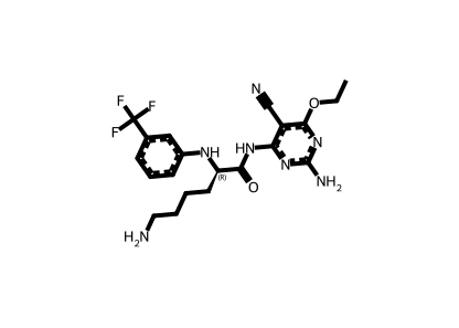 CCOc1nc(N)nc(NC(=O)[C@@H](CCCCN)Nc2cccc(C(F)(F)F)c2)c1C#N